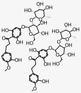 COc1ccc(CCC(=O)c2c(O)cc(O[C@@H]3O[C@H](CO)[C@@H](O)[C@H](O)[C@H]3O[C@@H]3O[C@@H](C)[C@H](O)[C@@H](O)[C@H]3O)cc2O)cc1O.COc1ccc(CCC(=O)c2c(O)cc(O[C@@H]3O[C@H](CO)[C@@H](O)[C@H](O)[C@H]3O[C@@H]3O[C@@H](C)[C@H](O)[C@@H](O)[C@H]3O)cc2O)cc1O